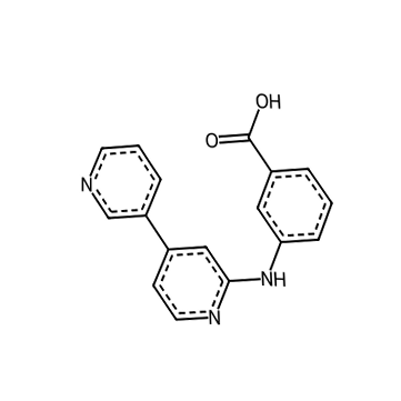 O=C(O)c1cccc(Nc2cc(-c3cccnc3)ccn2)c1